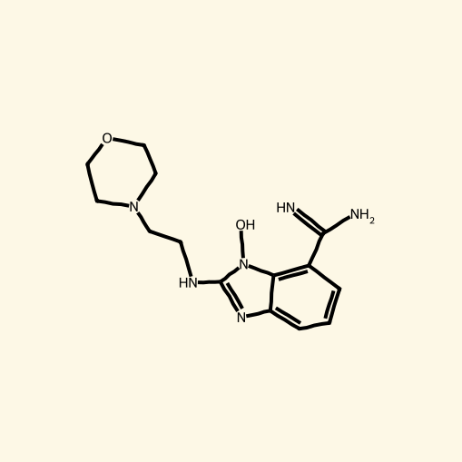 N=C(N)c1cccc2nc(NCCN3CCOCC3)n(O)c12